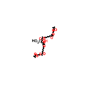 C=C(C)C(=O)OCCOC(C)C(=O)CCCCCOC(C)(C)C(=O)CC(C(=O)O)C(O)C(=O)C(C)OCCCCCC(=O)C(C)(C)OCCOC(=O)C(=C)C